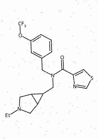 CCN1CC2C(C1)C2CN(Cc1cccc(OC(F)(F)F)c1)C(=O)c1cscn1